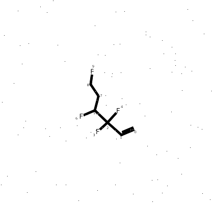 C=CC(F)(F)C(F)CCF